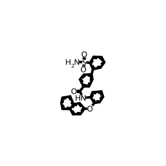 NS(=O)(=O)c1ccccc1-c1ccc(C(=O)Nc2ccccc2Oc2ccc3ccccc3c2)cc1